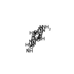 CNCCCC(=O)Nc1ncnc2c1ncn2[C@@H]1O[C@@H]2CO[P@@](=O)(S)OC3[C@@H](F)[C@H](n4cnc5c(N)ncnc54)O[C@@H]3CO[P@@](=O)(S)OC2[C@H]1F